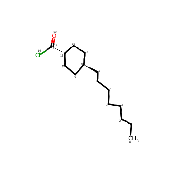 CCCCCCCC[C@H]1CC[C@H](C(=O)Cl)CC1